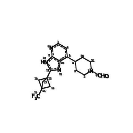 O=CN1CCC(c2ccnc3[nH]c(C45CC(C(F)(F)F)(C4)C5)nc23)CC1